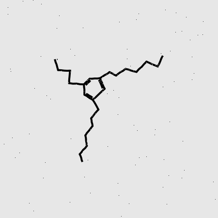 [CH2]CCCc1cc(CCCCCCC)cc(CCCCCCC)c1